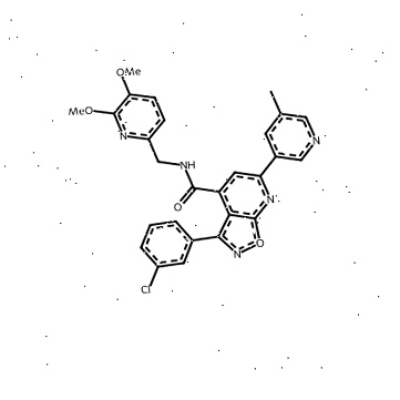 COc1ccc(CNC(=O)c2cc(-c3cncc(C)c3)nc3onc(-c4cccc(Cl)c4)c23)nc1OC